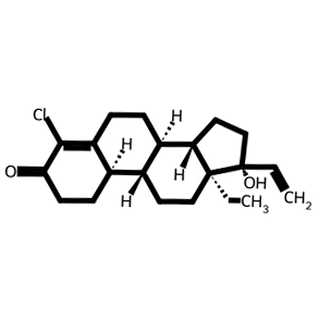 C=C[C@]1(O)CC[C@H]2[C@@H]3CCC4=C(Cl)C(=O)CC[C@@H]4[C@H]3CC[C@@]21CC